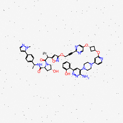 CC(C)C(C(=O)N1C[C@H](O)C[C@H]1C(=O)N[C@@H](C)c1ccc(-c2ccnn2C)cc1)c1cc(OCC#Cc2ncc(O[C@H]3C[C@H](Oc4cc(N5CCN(c6cc(-c7ccccc7O)nnc6N)CC5)ccn4)C3)cn2)no1